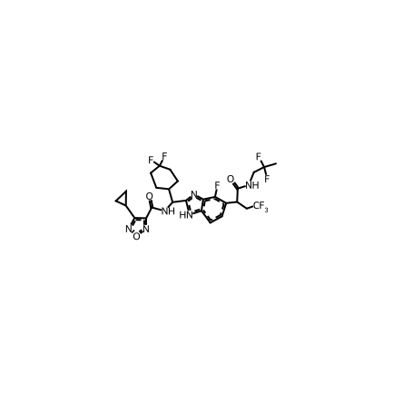 CC(F)(F)CNC(=O)C(CC(F)(F)F)c1ccc2[nH]c(C(NC(=O)c3nonc3C3CC3)C3CCC(F)(F)CC3)nc2c1F